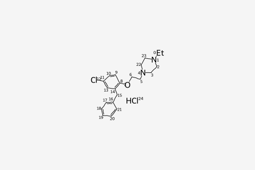 CCN1CCN(CCOc2ccc(Cl)cc2Cc2ccccc2)CC1.Cl